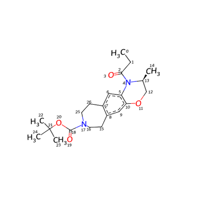 CCC(=O)N1c2cc3c(cc2OC[C@@H]1C)CCN(C(=O)OC(C)(C)C)CC3